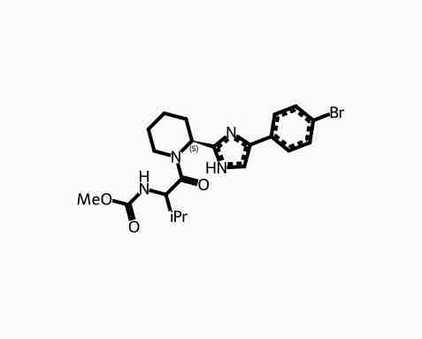 COC(=O)NC(C(=O)N1CCCC[C@H]1c1nc(-c2ccc(Br)cc2)c[nH]1)C(C)C